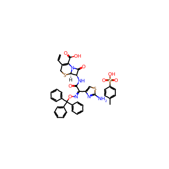 C=CC1=C(C(=O)O)N2C(=O)[C@@H](NC(=O)/C(=N\OC(c3ccccc3)(c3ccccc3)c3ccccc3)c3csc(N)n3)[C@H]2SC1.Cc1ccc(S(=O)(=O)O)cc1